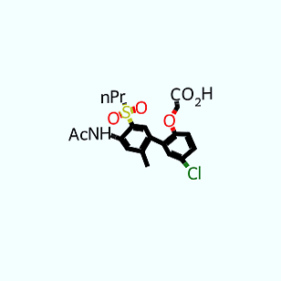 CCCS(=O)(=O)c1cc(-c2cc(Cl)ccc2OCC(=O)O)c(C)cc1NC(C)=O